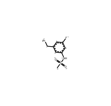 CC(C)Cc1cc(F)cc(NS(C)(=O)=O)c1